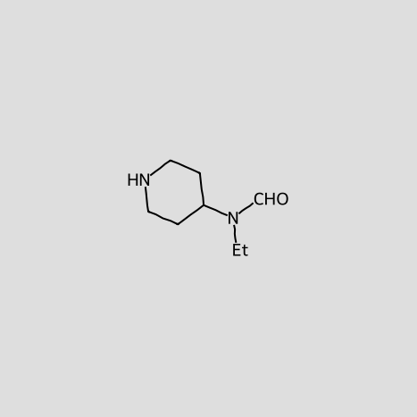 CCN(C=O)C1CCNCC1